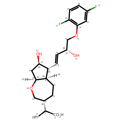 CCCC(C(=O)O)[C@H]1CC[C@@H]2[C@@H](C=C[C@@H](O)COc3cc(F)ccc3F)[C@H](O)C[C@@H]2OC1